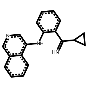 N=C(c1ccccc1Nc1cncc2ccccc12)C1CC1